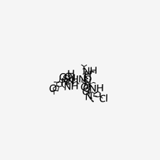 C=CCN(C)C(=O)[C@H](NC(=O)[C@H](CC)NC(=O)[C@H](CCCNC(=N)N(c1c(C)c(C)c2c(c1C)CC(C)(C)O2)[SH](=O)=O)NC(=O)[C@@](C)(CC=C)NCC(C)C)c1ccc(Cl)cc1